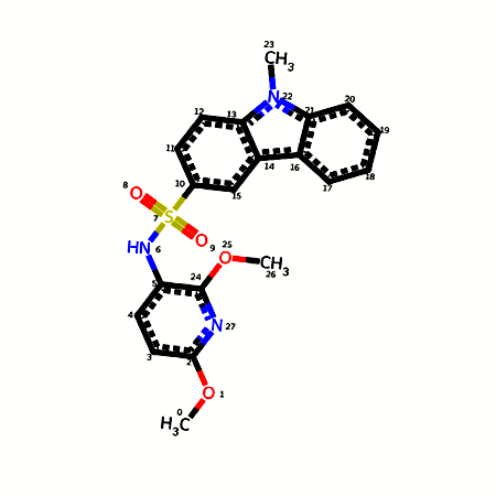 COc1ccc(NS(=O)(=O)c2ccc3c(c2)c2ccccc2n3C)c(OC)n1